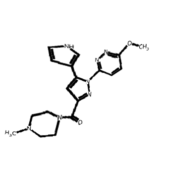 COc1ccc(-n2nc(C(=O)N3CCN(C)CC3)cc2-c2cc[nH]c2)nn1